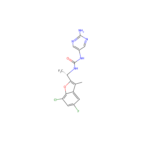 Cc1c([C@@H](NC(=O)Nc2cnc(N)nc2)C(F)(F)F)oc2c(Cl)cc(F)cc12